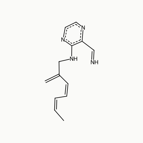 C=C(/C=C\C=C/C)CNc1nccnc1C=N